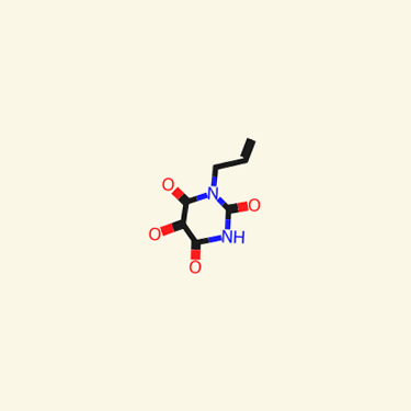 C=CCN1C(=O)NC(=O)C(=O)C1=O